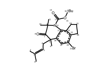 CC(C)=CCC1(C)C(=O)C(C)(C)N(C(=O)OC(C)(C)C)c2c1cc(Br)c1c2CCC1